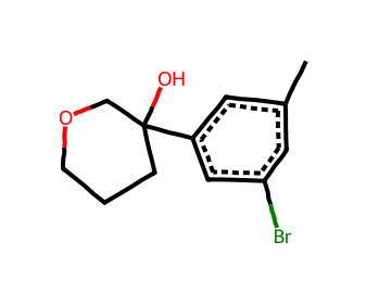 Cc1cc(Br)cc(C2(O)CCCOC2)c1